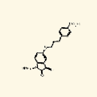 CCCCCN1C(=O)C(=O)c2cc(SCCCc3ccc(C(=O)OCC)cc3)ccc21